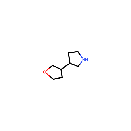 C1CC(C2CCOC2)CN1